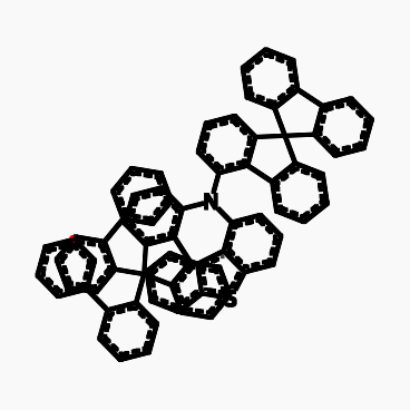 c1ccc(-c2ccccc2C2(c3ccccc3-c3ccccc3)c3ccccc3-c3c(N(c4cccc5c4-c4ccccc4C54c5ccccc5-c5ccccc54)c4cccc5sc6ccccc6c45)cccc32)cc1